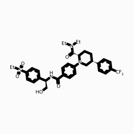 CCN(CC)C(=O)[C@@H]1CC[C@H](c2ccc(C(F)(F)F)cc2)CN1c1ccc(C(=O)N[C@@H](CO)c2ccc(S(=O)(=O)CC)cc2)cc1